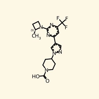 C[C@H]1CCN1c1nc(-c2cnn(C3CCN(C(=O)O)CC3)c2)cc(C(F)(F)F)n1